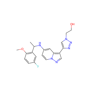 COc1ccc(F)cc1C(C)Nc1ccn2ncc(-c3cn(CCO)nn3)c2c1